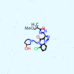 COCC(C)c1nc(-c2ncn3c2c(=O)n(CCN2CCCC(O)C2)c2c(Cl)cccc23)no1